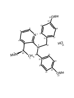 CN[C@H](C)c1cccnc1N(Cc1ccc(OC)cc1)Cc1ccc(OC)cc1.Cl